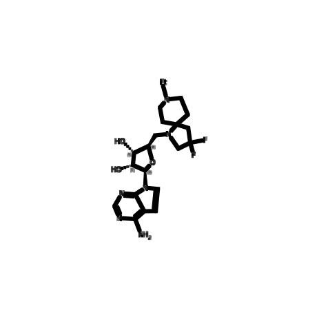 CCN1CCC2(CC1)CC(F)(F)CN2C[C@H]1O[C@@H](n2ccc3c(N)ncnc32)[C@H](O)[C@@H]1O